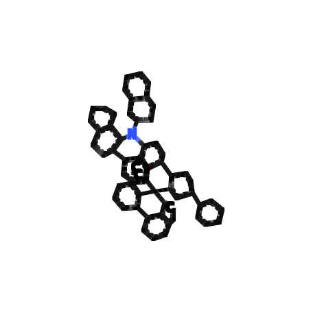 c1ccc(-c2ccc3c(c2)C2(c4ccccc4-c4cccc5cccc2c45)c2cccc4c(N(c5ccc6ccccc6c5)c5c(-c6ccccc6)ccc6ccccc56)ccc-3c24)cc1